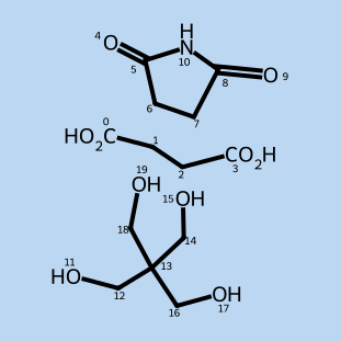 O=C(O)CCC(=O)O.O=C1CCC(=O)N1.OCC(CO)(CO)CO